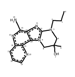 CCCN1CC(C)(O)Cn2c1nc1c(N)nc3cccnc3c12